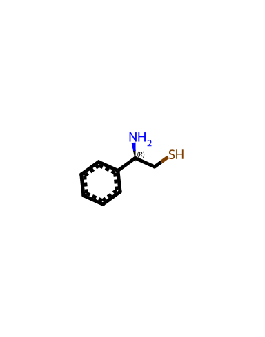 N[C@@H](CS)c1ccccc1